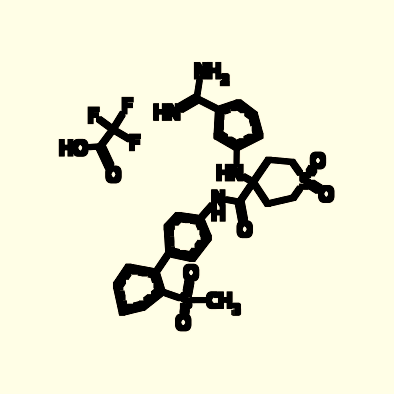 CS(=O)(=O)c1ccccc1-c1ccc(NC(=O)C2(Nc3cccc(C(=N)N)c3)CCS(=O)(=O)CC2)cc1.O=C(O)C(F)(F)F